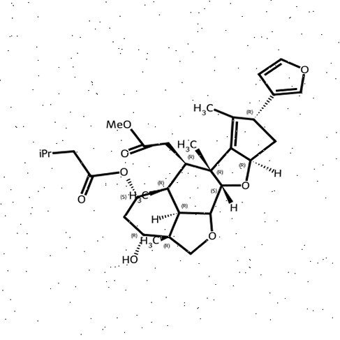 COC(=O)C[C@H]1[C@]2(C)C3=C(C)[C@H](c4ccoc4)C[C@H]3O[C@@H]2C2OC[C@]3(C)[C@H](O)C[C@H](OC(=O)CC(C)C)[C@@]1(C)[C@@H]23